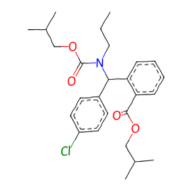 CCCN(C(=O)OCC(C)C)C(c1ccc(Cl)cc1)c1ccccc1C(=O)OCC(C)C